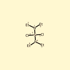 CCN(CC)[Si](Cl)(Cl)N(CC)CC